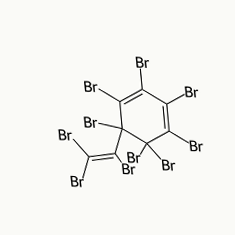 BrC(Br)=C(Br)C1(Br)C(Br)=C(Br)C(Br)=C(Br)C1(Br)Br